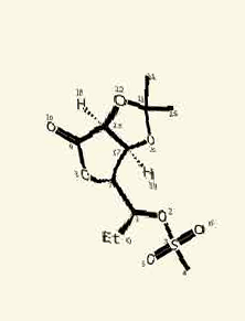 CC[C@H](OS(C)(=O)=O)[C@H]1OC(=O)[C@H]2OC(C)(C)O[C@@H]12